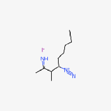 CCCCCC([N+]#N)C(C)C(C)=N.[I-]